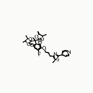 Cc1sc(-c2ccncc2)nc1CCCOc1cc(C(C)(P2(=O)OC(C)C(C)O2)P2(=O)OC(C)C(C)O2)ccc1F